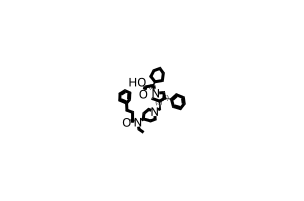 CCN(C(=O)CCc1ccccc1)C1CCN(C[C@H]2CN([C@@H](C(=O)O)C3CCCCC3)C[C@@H]2c2ccccc2)CC1